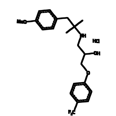 COc1ccc(CC(C)(C)NCC(O)COc2ccc(C(F)(F)F)cc2)cc1.Cl